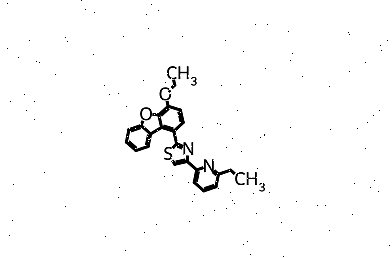 CCOc1ccc(-c2nc(-c3cccc(CC)n3)cs2)c2c1oc1ccccc12